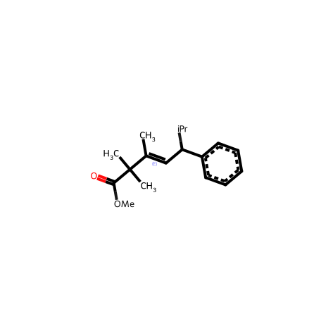 COC(=O)C(C)(C)/C(C)=C/C(c1ccccc1)C(C)C